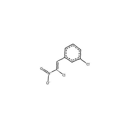 O=[N+]([O-])/C(Cl)=C/c1cccc(Cl)c1